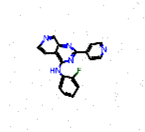 Fc1ccccc1Nc1nc(-c2ccncc2)nc2cnccc12